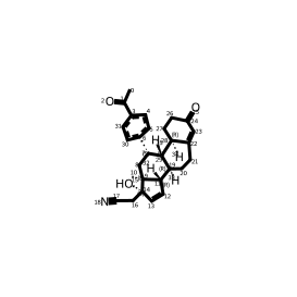 CC(=O)c1ccc([C@H]2C[C@@]3(C)[C@@H](C=C[C@@]3(O)CC#N)[C@@H]3CCC4=CC(=O)CC[C@@H]4[C@H]32)cc1